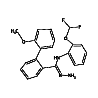 COc1ccccc1-c1ccccc1/C(=N/N)Nc1ccccc1OC(F)F